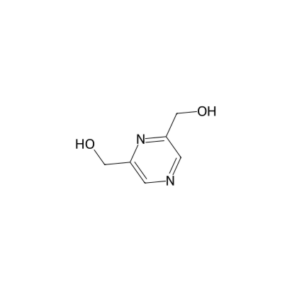 OCc1cncc(CO)n1